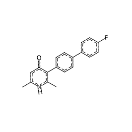 Cc1cc(=O)c(-c2ccc(-c3ccc(F)cc3)cc2)c(C)[nH]1